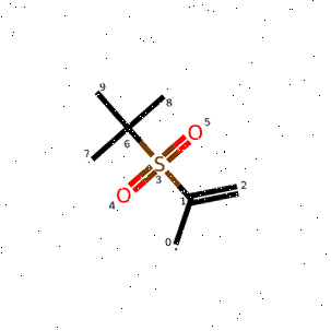 [CH2]C(=C)S(=O)(=O)C(C)(C)C